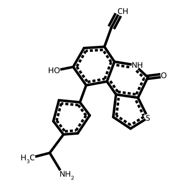 C#Cc1cc(O)c(-c2ccc(C(C)N)cc2)c2c1[nH]c(=O)c1sccc12